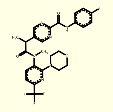 CC(C(=O)N(C)c1ccc(C(F)(F)F)nc1N1CCOCC1)c1cnc(C(=O)Nc2ccc(F)cc2)nc1